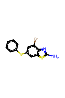 Nc1nc2c(Br)cc(Sc3ccccc3)cc2s1